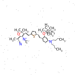 [C-]#[N+]C1=C(/C=C/c2ccc(/C=C/c3ccc(N(CCCC)CCCC)cc3O[Si](C)(C)C(C)(C)C)s2)C(C)(C)O/C1=C(\C)C#N